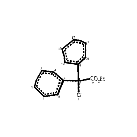 CCOC(=O)C(Cl)(c1ccccc1)c1ccccc1